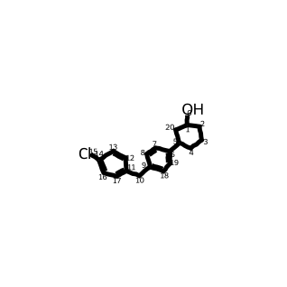 OC1CCCC(c2ccc(Cc3ccc(Cl)cc3)cc2)C1